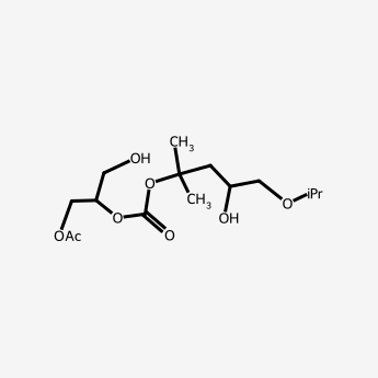 CC(=O)OCC(CO)OC(=O)OC(C)(C)CC(O)COC(C)C